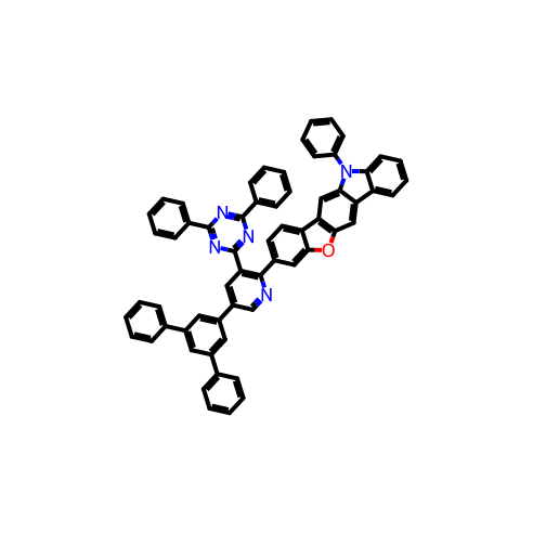 c1ccc(-c2cc(-c3ccccc3)cc(-c3cnc(-c4ccc5c(c4)oc4cc6c7ccccc7n(-c7ccccc7)c6cc45)c(-c4nc(-c5ccccc5)nc(-c5ccccc5)n4)c3)c2)cc1